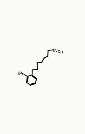 CCCCCCCCCCCCCCCCc1ccccc1[C](C)C